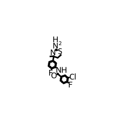 CC1(c2ccc(F)c(NC(=O)c3ccc(F)c(Cl)c3)c2)CCSC(N)=N1